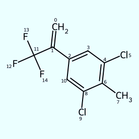 C=C(c1cc(Cl)c(C)c(Cl)c1)C(F)(F)F